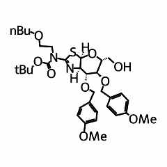 CCCCOCCN(C(=O)OC(C)(C)C)C1=N[C@@H]2[C@@H](OCc3ccc(OC)cc3)[C@H](OCc3ccc(OC)cc3)[C@@H](CO)O[C@@H]2S1